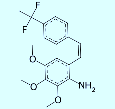 COc1cc(/C=C\c2ccc(C(C)(F)F)cc2)c(N)c(OC)c1OC